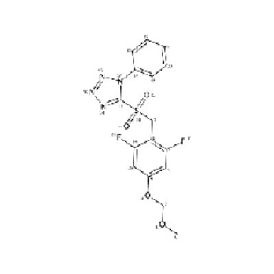 COCOc1cc(F)c(CS(=O)(=O)c2nnnn2-c2ccccc2)c(F)c1